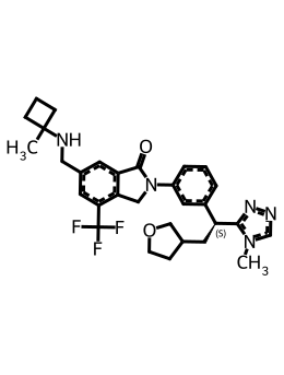 Cn1cnnc1[C@@H](CC1CCOC1)c1cccc(N2Cc3c(cc(CNC4(C)CCC4)cc3C(F)(F)F)C2=O)c1